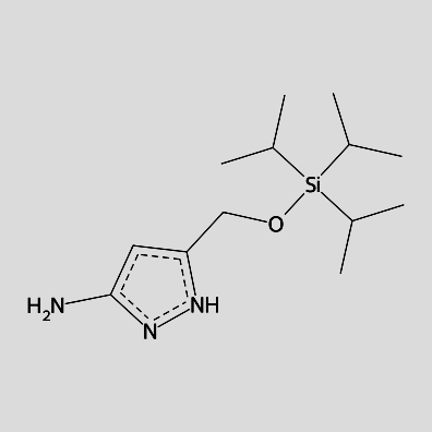 CC(C)[Si](OCc1cc(N)n[nH]1)(C(C)C)C(C)C